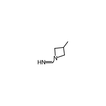 CC1CN(C=N)C1